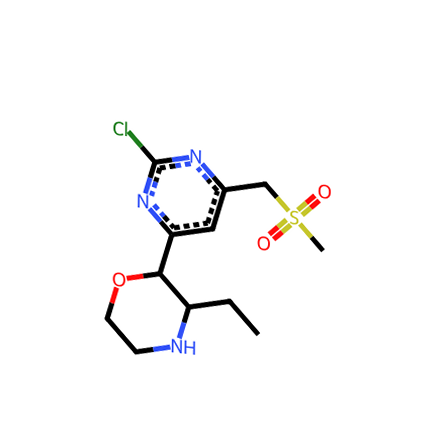 CCC1NCCOC1c1cc(CS(C)(=O)=O)nc(Cl)n1